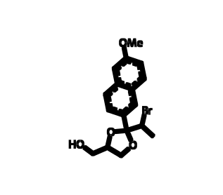 COc1ccc2cc(C3(C(C)Br)OCC(CO)O3)ccc2c1